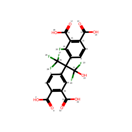 O=C(O)c1ccc(C(c2ccc(C(=O)O)c(C(=O)O)c2F)(C(O)(F)F)C(F)(F)F)cc1C(=O)O